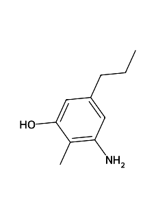 CCCc1cc(N)c(C)c(O)c1